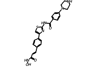 O=C(/C=C/c1ccc(-c2csc(NC(=O)c3ccc(N4CCNCC4)cc3)n2)cc1)NO